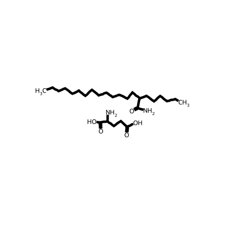 CCCCCCCCCCCCCCC(CCCCCC)C(N)=O.NC(CCC(=O)O)C(=O)O